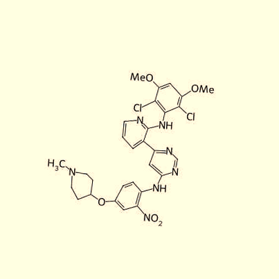 COc1cc(OC)c(Cl)c(Nc2ncccc2-c2cc(Nc3ccc(OC4CCN(C)CC4)cc3[N+](=O)[O-])ncn2)c1Cl